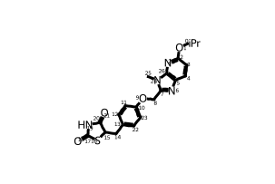 CC(C)Oc1ccc2nc(COc3ccc(CC4SC(=O)NC4=O)cc3)n(C)c2n1